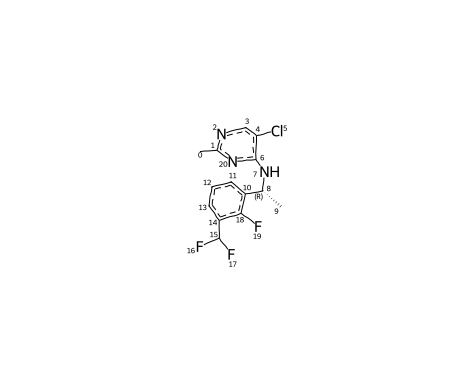 Cc1ncc(Cl)c(N[C@H](C)c2cccc(C(F)F)c2F)n1